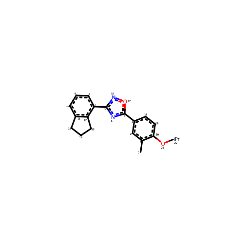 Cc1cc(-c2nc(-c3cccc4c3CCC4)no2)ccc1OC(C)C